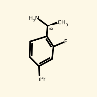 CC(C)c1ccc([C@H](C)N)c(F)c1